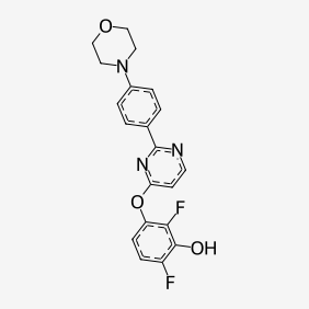 Oc1c(F)ccc(Oc2ccnc(-c3ccc(N4CCOCC4)cc3)n2)c1F